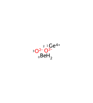 [BeH2].[Ge+4].[O-2].[O-2]